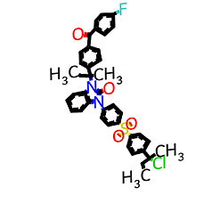 CCC(C)(Cl)c1ccc(S(=O)(=O)c2ccc(-n3c(=O)n(C(C)(CC)c4ccc(C(=O)c5ccc(F)cc5)cc4)c4ccccc43)cc2)cc1